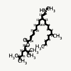 CCCCCC(C)CCCCCC(/C=C/NC)CCCCCCCCC(=O)OCC(CCC(C)C)C(C)C